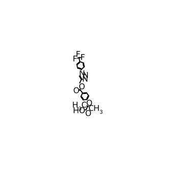 CC(C)(Oc1ccc(C(=O)OCc2cn(-c3ccc(C(F)(F)F)cc3)nn2)cc1)C(=O)O